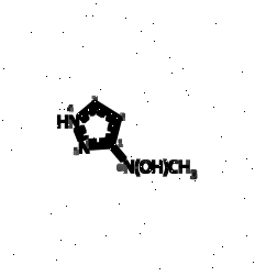 CN(O)c1cc[nH]n1